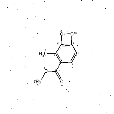 Cc1c(C(=O)OC(C)(C)C)ccc2ooc12